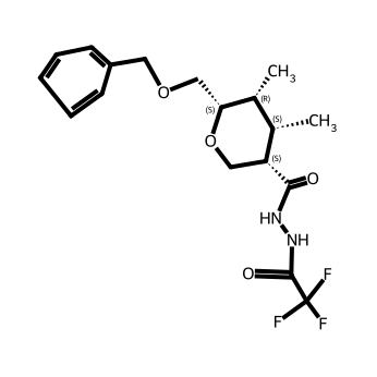 C[C@@H]1[C@H](C)[C@H](C(=O)NNC(=O)C(F)(F)F)CO[C@@H]1COCc1ccccc1